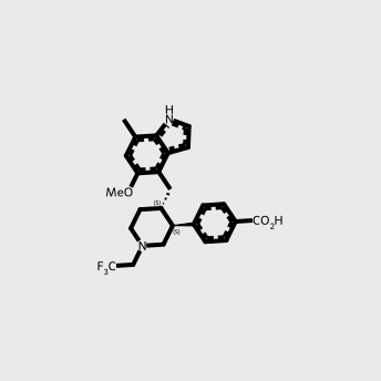 COc1cc(C)c2[nH]ccc2c1C[C@H]1CCN(CC(F)(F)F)C[C@@H]1c1ccc(C(=O)O)cc1